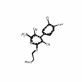 COCCSc1nc(N)c(C#N)c(-c2ccc(O)c(Cl)c2)c1C#N